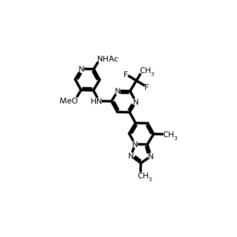 COc1cnc(NC(C)=O)cc1Nc1cc(-c2cc(C)c3nc(C)nn3c2)nc(C(C)(F)F)n1